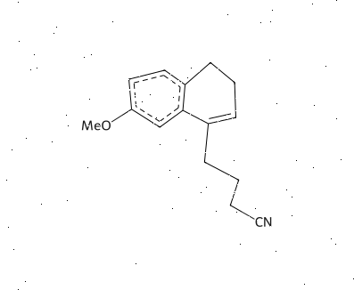 COc1ccc2c(c1)C(CCCC#N)=CCC2